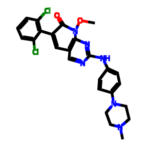 COn1c(=O)c(-c2c(Cl)cccc2Cl)cc2cnc(Nc3ccc(N4CCN(C)CC4)cc3)nc21